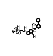 N#Cc1c2c(cc3nc(-c4cccc(-c5ccccc5)c4Cl)oc13)C(NCCC(=O)NS(=O)(=O)C1CC1)CC2